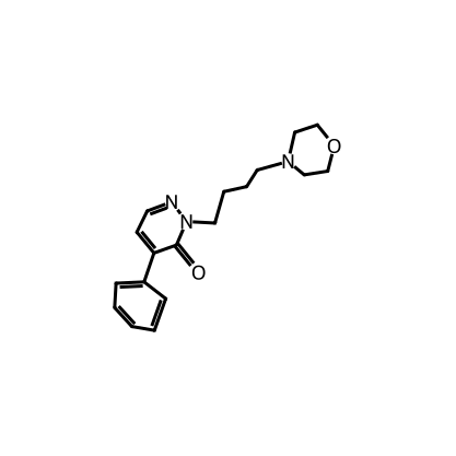 O=c1c(-c2ccccc2)ccnn1CCCCN1CCOCC1